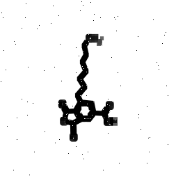 [CH2]CCCCCCCc1cc(C(=O)O)cc2c1C(=O)OC2=O